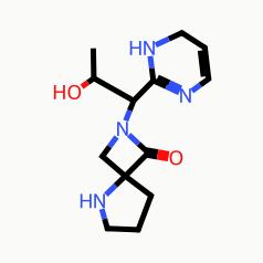 CC(O)C(C1=NC=CCN1)N1CC2(CCCN2)C1=O